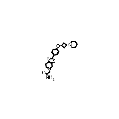 NC(=O)CN1CCc2nc(-c3ccc(O[C@H]4C[C@H](N5CCCCC5)C4)cc3)sc2C1